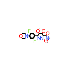 COC1C(=O)C(C(=O)N(C)OC)=NN=C1c1cc(F)c(N2CCOCC2)cc1F